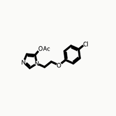 CC(=O)Oc1cncn1CCOc1ccc(Cl)cc1